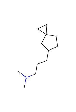 CN(C)CCCC1CCC2(CC2)C1